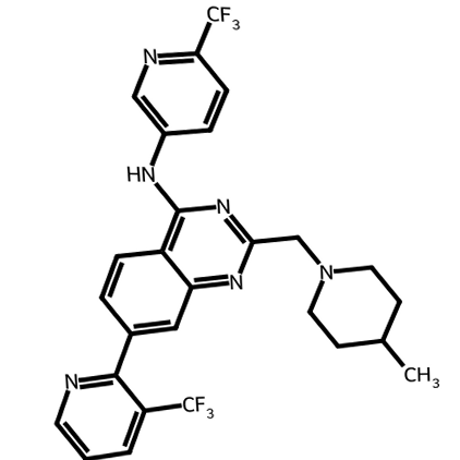 CC1CCN(Cc2nc(Nc3ccc(C(F)(F)F)nc3)c3ccc(-c4ncccc4C(F)(F)F)cc3n2)CC1